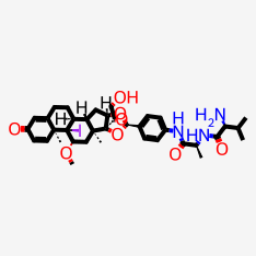 CO[C@H]1C[C@@]2(C)[C@@H](C[C@H]3O[C@@H](c4ccc(NC(=O)[C@H](C)NC(=O)[C@@H](N)C(C)C)cc4)O[C@]32C(=O)CO)[C@@H]2CCC3=CC(=O)C=C[C@]3(C)[C@@]12I